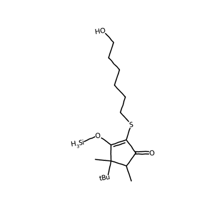 CC1C(=O)C(SCCCCCCO)=C(O[SiH3])C1(C)C(C)(C)C